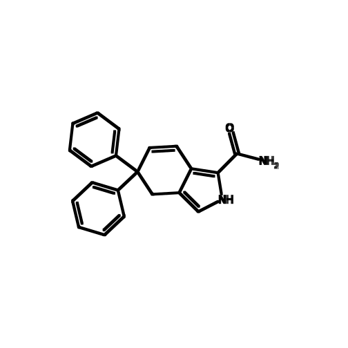 NC(=O)c1[nH]cc2c1C=CC(c1ccccc1)(c1ccccc1)C2